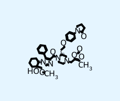 COC[C@]1(O)CCCC[C@H]1n1cnc(C(=O)N2CCN(Cc3oc(=O)oc3C)C[C@H]2CCOc2ccc(N3CCCC3=O)cc2)c1-c1ccccc1